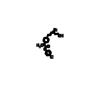 CCN(C/C=C/[C@H]1CC[C@H](N(C)C(=O)Oc2ccc(Cl)cc2)CC1)CCO